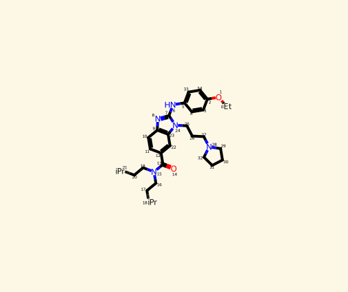 CCOc1ccc(Nc2nc3ccc(C(=O)N(CCC(C)C)CCC(C)C)cc3n2CCCN2CCCC2)cc1